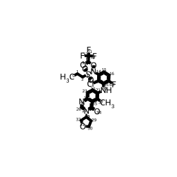 CCCS(=O)(=O)N(OC(=O)C(F)(F)F)c1ccc(F)c(Nc2ccc3ncn([C@H]4CCOC4)c(=O)c3c2C)c1Cl